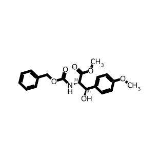 COC(=O)[C@@H](NC(=O)OCc1ccccc1)[C@H](O)c1ccc(OC)cc1